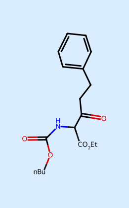 CCCCOC(=O)NC(C(=O)CCc1ccccc1)C(=O)OCC